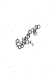 CCNC(=O)C1(CCCCN2CCN(c3ccc4c(c3)C(=O)N(CC3CCCCO3)CC4)CC2)c2ccccc2Sc2ccccc21